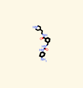 Nc1ccc(NC(=O)NCc2cccc(C(=O)NCCC3CCNCC3)c2)cc1